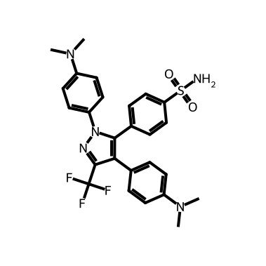 CN(C)c1ccc(-c2c(C(F)(F)F)nn(-c3ccc(N(C)C)cc3)c2-c2ccc(S(N)(=O)=O)cc2)cc1